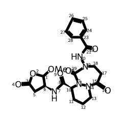 COC1OC(=O)C[C@@H]1NC(=O)[C@@H]1CCCN2C(=O)CCN(NC(=O)c3ccccc3)C(=O)N12